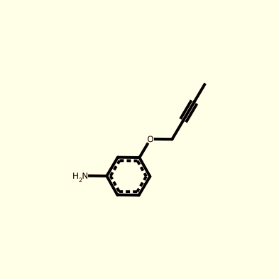 CC#CCOc1cccc(N)c1